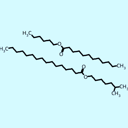 CCCCCCCCCCCC(=O)OCCCCCC.CCCCCCCCCCCCCCCC(=O)OCCCCCC(C)C